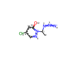 CC(N=[N+]=[N-])n1ncc(Cl)cc1=O